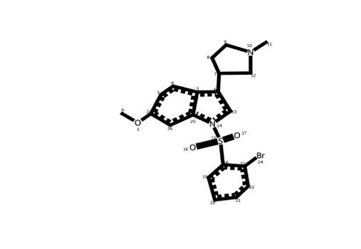 COc1ccc2c(C3CCN(C)C3)cn(S(=O)(=O)c3ccccc3Br)c2c1